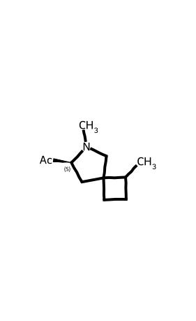 CC(=O)[C@@H]1CC2(CCC2C)CN1C